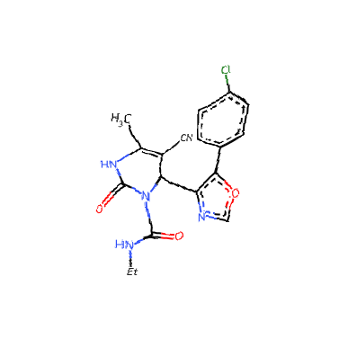 CCNC(=O)N1C(=O)NC(C)=C(C#N)C1c1ncoc1-c1ccc(Cl)cc1